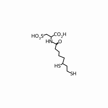 O=C(CCCCC(S)CCS)NC(CS(=O)(=O)O)C(=O)O